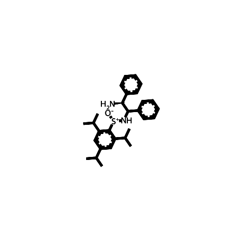 CC(C)c1cc(C(C)C)c([S+]([O-])NC(c2ccccc2)[C@@H](N)c2ccccc2)c(C(C)C)c1